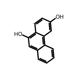 Oc1c[c]c2c(O)cc3ccccc3c2c1